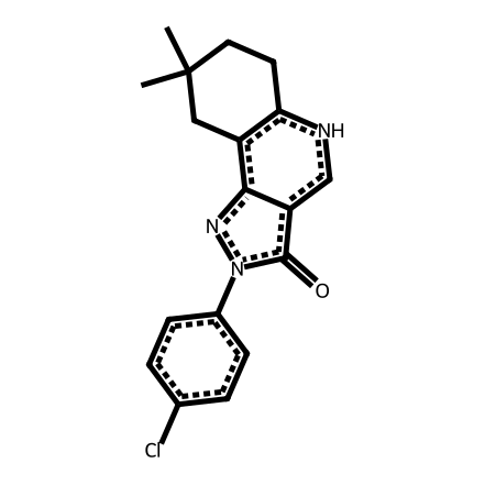 CC1(C)CCc2[nH]cc3c(=O)n(-c4ccc(Cl)cc4)nc-3c2C1